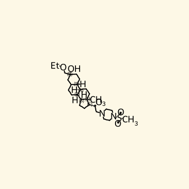 CCOC[C@@]1(O)CC[C@H]2C(CC[C@@H]3[C@@H]2CC[C@]2(C)[C@@H](C(=O)CN4CCN(S(C)(=O)=O)CC4)CC[C@@H]32)C1